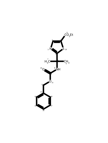 CCOC(=O)c1cnc(C(C)(C)NC(=O)OCc2ccccc2)s1